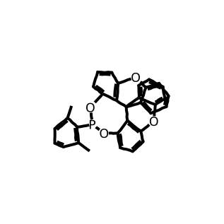 Cc1cccc(C)c1P1Oc2cccc3c2C2(c4ccccc4O3)c3ccccc3Oc3cccc(c32)O1